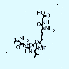 CC(C)[C@H](N)C(=O)NCC(=O)N[C@H](C(=O)N[C@@H](C)C(=O)CCCC[C@H](N)C(=O)NCC(=O)O)C(C)C